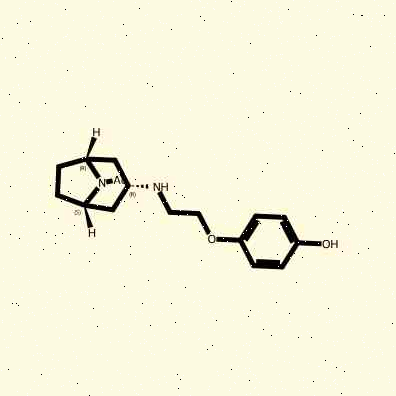 CC(=O)N1[C@@H]2CC[C@H]1C[C@@H](NCCOc1ccc(O)cc1)C2